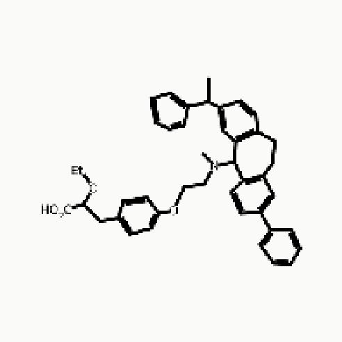 CCOC(Cc1ccc(OCCN(C)C2c3ccc(-c4ccccc4)cc3CCc3ccc(C(C)c4ccccc4)cc32)cc1)C(=O)O